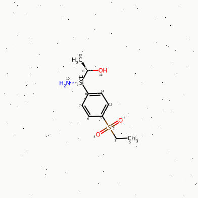 CCS(=O)(=O)c1ccc([Si@H](N)[C@@H](C)O)cc1